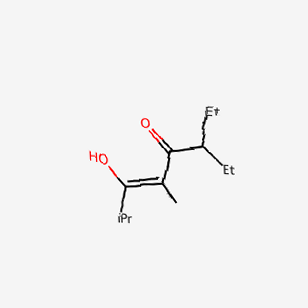 CCC(CC)C(=O)/C(C)=C(\O)C(C)C